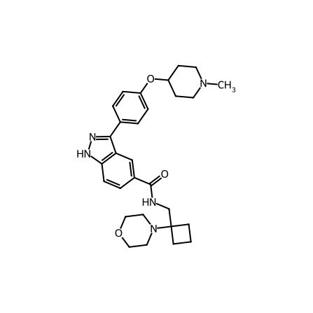 CN1CCC(Oc2ccc(-c3n[nH]c4ccc(C(=O)NCC5(N6CCOCC6)CCC5)cc34)cc2)CC1